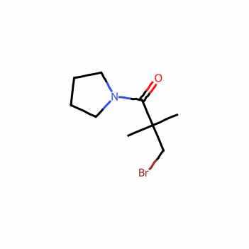 CC(C)(CBr)C(=O)N1CCCC1